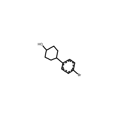 OC1CCC(c2ccc(Br)cc2)CC1